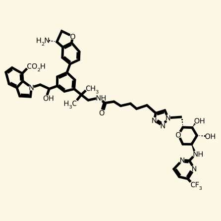 CC(C)(CNC(=O)CCCCCc1cn(C[C@H]2OC[C@H](Nc3nccc(C(F)(F)F)n3)[C@@H](O)[C@H]2O)nn1)c1cc(-c2ccc3c(c2)[C@H](N)CO3)cc(C(O)Cn2ccc3cccc(C(=O)O)c32)c1